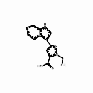 CCn1nc(-c2c[nH]c3ccccc23)cc1C(=O)O